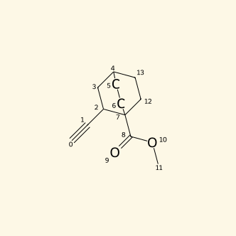 C#CC1CC2CCC1(C(=O)OC)CC2